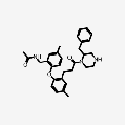 CC(=O)NCc1cc(C)ccc1Oc1ccc(C)cc1CCC(=O)N1CCNCC1Cc1ccccc1